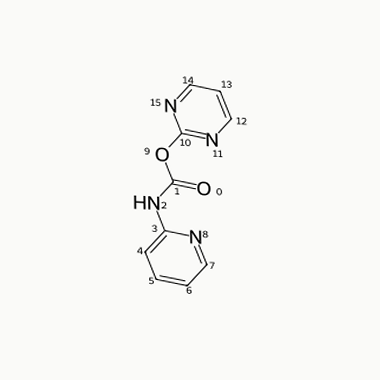 O=C(Nc1ccccn1)Oc1ncccn1